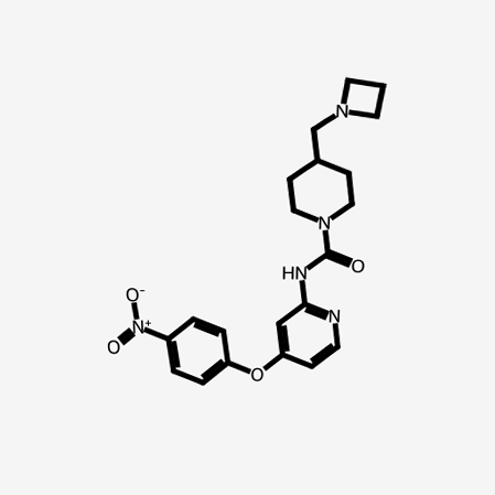 O=C(Nc1cc(Oc2ccc([N+](=O)[O-])cc2)ccn1)N1CCC(CN2CCC2)CC1